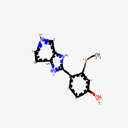 CSc1cc(O)ccc1-c1nc2cnccc2[nH]1